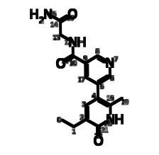 CCc1cc(-c2cncc(C(=O)NCC(N)=O)c2)c(C)[nH]c1=O